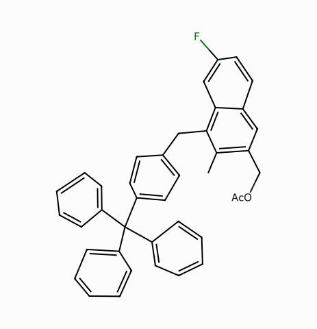 CC(=O)OCc1cc2ccc(F)cc2c(Cc2ccc(C(c3ccccc3)(c3ccccc3)c3ccccc3)cc2)c1C